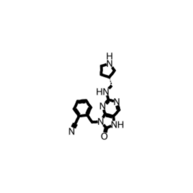 N#Cc1ccccc1Cn1c(=O)[nH]c2cnc(NC[C@@H]3CCNC3)nc21